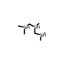 C[SiH](C)C[SiH](C)C[SiH](C)C